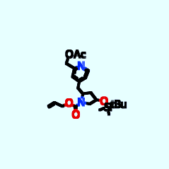 C=CCOC(=O)N1CC(O[Si](C)(C)C(C)(C)C)CC1Cc1ccnc(COC(C)=O)c1